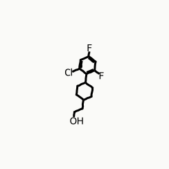 OCCC1CCC(c2c(F)cc(F)cc2Cl)CC1